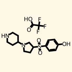 O=C(O)C(F)(F)F.O=S(=O)(c1ccc(O)cc1)C1CCN(C2CCNCC2)C1